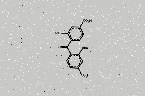 CCCCc1cc(C(=O)O)ccc1C(=O)c1ccc(C(=O)O)cc1CCCC